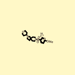 COc1ccc(S(=O)(=O)N2CCC3(CCN(C4CCOCC4)C3)CC2)c(C)n1